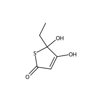 CCC1(O)SC(=O)C=C1O